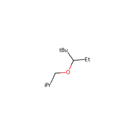 [CH2]CC(OCC(C)C)C(C)(C)C